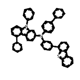 c1ccc(-c2ccc(N(c3cccc(-c4cccc5c4sc4ccccc45)c3)c3ccc4c5c(-c6ccccc6)cccc5n(-c5ccccc5)c4c3)cc2)cc1